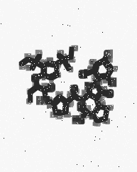 CCC(Oc1ccc(C(C)(C)CC)cc1C(C)(C)CC)C(=O)Nc1cccc(C(=O)NC2=NN(c3c(Cl)cc(Cl)cc3Cl)C(=O)C2C2CCCN2C(=S)S)c1